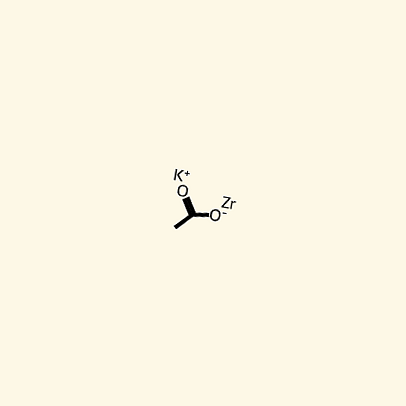 CC(=O)[O-].[K+].[Zr]